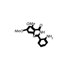 COc1cc(OC)c2c(=O)[nH]c(-c3ccccc3N)nc2c1